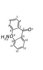 N.O=c1c2ccccc2oc2ccccc12